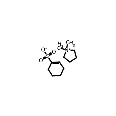 C[N+]1(C)CCCC1.O=S(=O)([O-])C1=CCCCC1